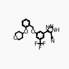 N#Cc1[nH]nnc1-c1cc(OCc2ccccc2OC2CCOCC2)cc(C(F)(F)F)c1